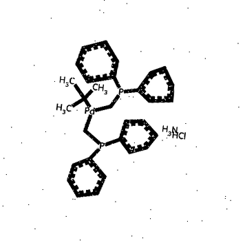 C[C](C)(C)[Pd]([CH2]P(c1ccccc1)c1ccccc1)[CH2]P(c1ccccc1)c1ccccc1.Cl.N